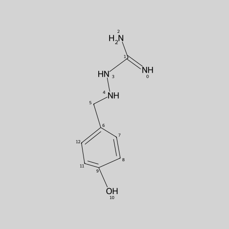 N=C(N)NNCc1ccc(O)cc1